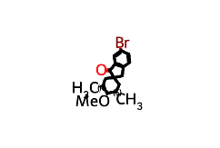 COC1[C@H](C)CC2(Cc3ccc(Br)cc3C2=O)C[C@@H]1C